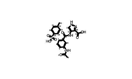 CC(=O)Nc1cccc(C(=O)Nc2c[nH]nc2C(=O)O)c1.Cc1ccc(S(=O)(=O)O)cc1